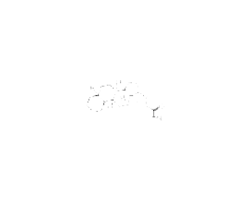 C[C@H](CC(=O)O)[C@H]1CC[C@H]2[C@@H]3CC[C@@H]4CCCC[C@]4(C)[C@H]3CC[C@]12C